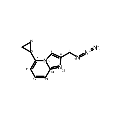 [N-]=[N+]=NCc1cn2c(C3CC3)cccc2n1